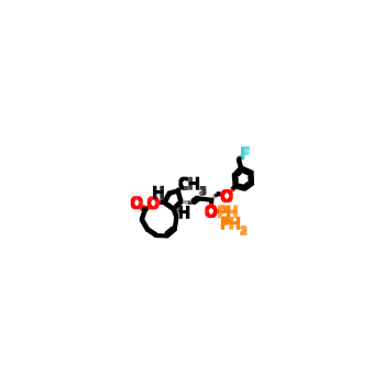 C[C@@H]1C[C@@H]2OC(=O)CCC/C=C\C[C@@H]2[C@H]1/C=C/[C@H](COc1cccc(CF)c1)OPP